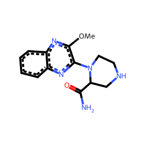 COc1nc2ccccc2nc1N1CCNCC1C(N)=O